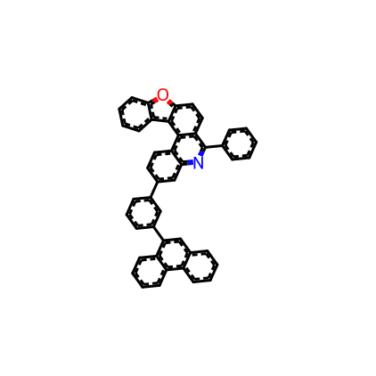 c1ccc(-c2nc3cc(-c4cccc(-c5cc6ccccc6c6ccccc56)c4)ccc3c3c2ccc2oc4ccccc4c23)cc1